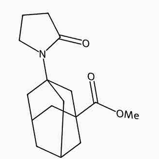 COC(=O)C12CC3CC(C1)CC(N1CCCC1=O)(C3)C2